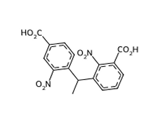 CC(c1ccc(C(=O)O)cc1[N+](=O)[O-])c1cccc(C(=O)O)c1[N+](=O)[O-]